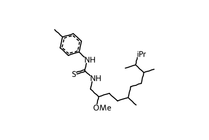 COC(CCC(C)CCC(C)C(C)C(C)C)CNC(=S)Nc1ccc(C)cc1